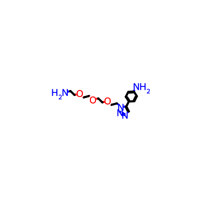 NCCOCCOCCOCCn1nncc1-c1ccc(N)cc1